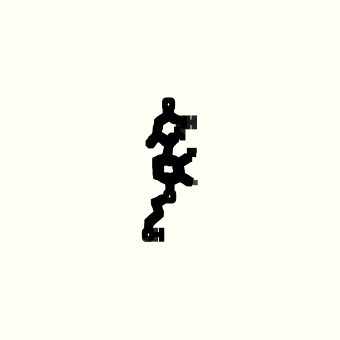 [CH2]c1c(OCCCO)ccc(C2=NNC(=O)CC2C)c1F